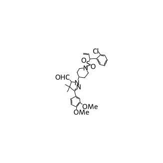 C=CC(c1ccccc1Cl)S(=O)(=O)N1CCC(N2N=C(c3ccc(OC)c(OC)c3)C(C)(C)C2C=O)CC1